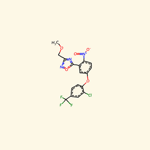 COCc1noc(-c2cc(Oc3ccc(C(F)(F)F)cc3Cl)ccc2[N+](=O)[O-])n1